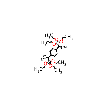 CCO[Si](OCC)(OCC)C(C)C1CCC(C(C)[Si](OCC)(OCC)OCC)CC1